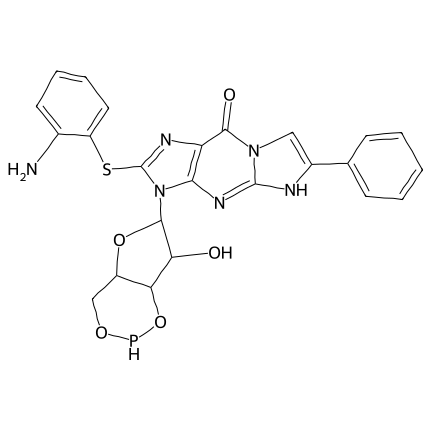 Nc1ccccc1Sc1nc2c(=O)n3cc(-c4ccccc4)[nH]c3nc2n1C1OC2COPOC2C1O